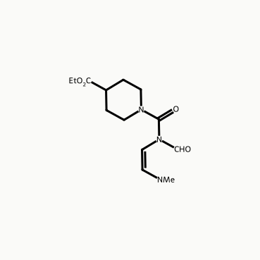 CCOC(=O)C1CCN(C(=O)N(C=O)/C=C\NC)CC1